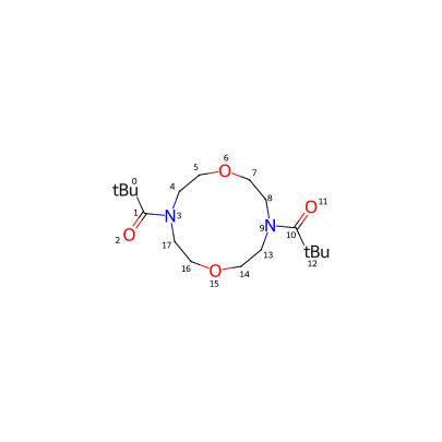 CC(C)(C)C(=O)N1CCOCCN(C(=O)C(C)(C)C)CCOCC1